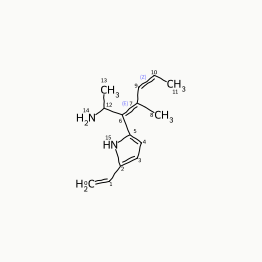 C=Cc1ccc(/C(=C(C)/C=C\C)C(C)N)[nH]1